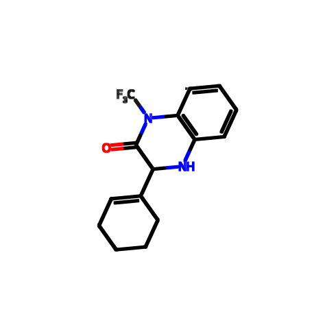 O=C1C(C2=CCCCC2)Nc2ccc[c]c2N1C(F)(F)F